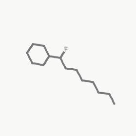 CCCCCCCC(F)C1CCCCC1